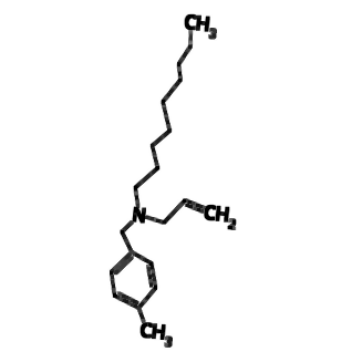 C=CCN(CCCCCCCCC)Cc1ccc(C)cc1